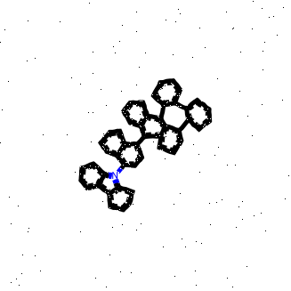 c1ccc2c(c1)-c1ccccc1-c1c3ccccc3c(-c3ccc(-n4c5ccccc5c5ccccc54)c4ccccc34)c3cccc-2c13